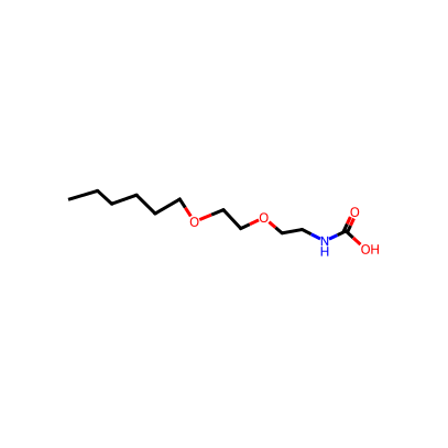 CCCCCCOCCOCCNC(=O)O